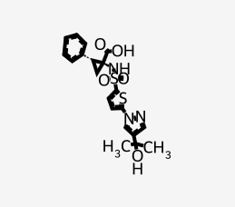 CC(C)(O)c1cnn(-c2ccc(S(=O)(=O)N[C@@]3(C(=O)O)C[C@@H]3c3ccccc3)s2)c1